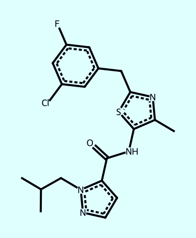 Cc1nc(Cc2cc(F)cc(Cl)c2)sc1NC(=O)c1ccnn1CC(C)C